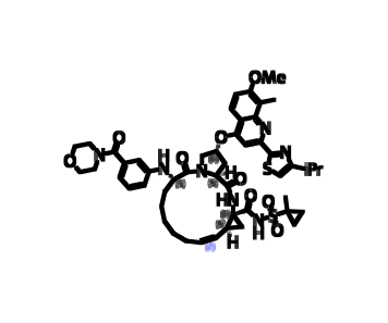 COc1ccc2c(O[C@@H]3C[C@H]4C(=O)N[C@]5(C(=O)NS(=O)(=O)C6(C)CC6)C[C@H]5/C=C\CCCCC[C@H](Nc5cccc(C(=O)N6CCOCC6)c5)C(=O)N4C3)cc(-c3nc(C(C)C)cs3)nc2c1C